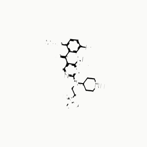 COc1ccc(F)cc1C(=O)c1cnc(N(CCS(C)(=O)=O)C2CCNCC2)nc1N